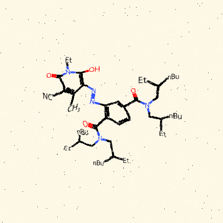 CCCCC(CC)CN(CC(CC)CCCC)C(=O)c1ccc(C(=O)N(CC(CC)CCCC)CC(CC)CCCC)c(/N=N/c2c(C)c(C#N)c(=O)n(CC)c2O)c1